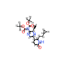 C#Cc1nc(-c2ccc(=O)[nH]c2CCC2CC2)cnc1N(C(=O)OC(C)(C)C)C(=O)OC(C)(C)C